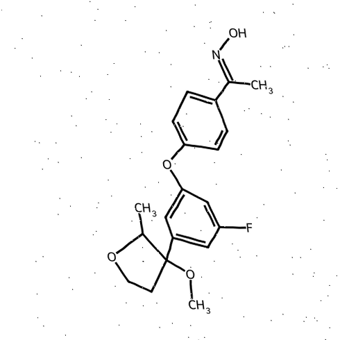 COC1(c2cc(F)cc(Oc3ccc(C(C)=NO)cc3)c2)CCOC1C